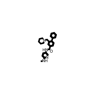 CNc1ccc(NC(=O)c2ccc(-c3ccccc3)c(CN3CCCCC3)c2)cn1